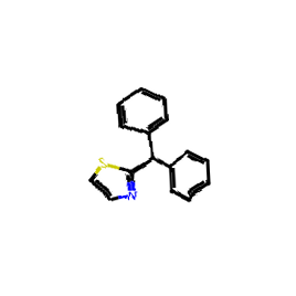 c1ccc(C(c2ccccc2)c2nccs2)cc1